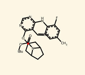 Cc1ccc(Nc2ncnc(OC3CC4CCC(C3)N4C(=O)OC(C)(C)C)c2C=N)c(F)c1